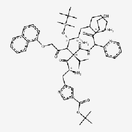 CC(C)[C@@](C(=O)NC(C(=O)[C@@H](N)CO)c1ccccn1)(C(=O)[C@@H](N)Cc1cn(C(=O)OC(C)(C)C)cn1)C(C(=O)COc1cccc2ccccc12)[C@H](O[Si](C)(C)C(C)(C)C)[C@@H](N)CC1CCCCC1